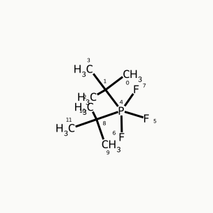 CC(C)(C)P(F)(F)(F)C(C)(C)C